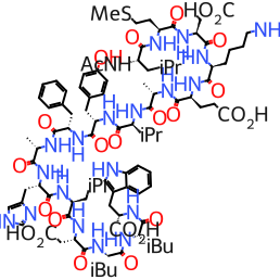 CC[C@H](C)[C@H](NC(=O)[C@H](CC(=O)O)NC(=O)[C@H](CC(C)C)NC(=O)[C@H](Cc1c[nH]cn1)NC(=O)[C@H](C)NC(=O)[C@H](Cc1ccccc1)NC(=O)[C@H](Cc1ccc(O)cc1)NC(=O)[C@@H](NC(=O)[C@H](C)NC(=O)[C@H](CCC(=O)O)NC(=O)[C@H](CCCCN)NC(=O)[C@H](CC(=O)O)NC(=O)[C@H](CCSC)NC(=O)[C@H](CC(C)C)NC(C)=O)C(C)C)C(=O)N[C@H](C(=O)N[C@@H](Cc1c[nH]c2ccccc12)C(=O)O)[C@@H](C)CC